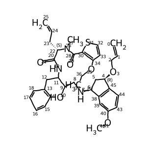 C=CCO[C@@H]1C[C@H](NCC(O)C(Cc2ccccc2)NC(=O)[C@H](CC=C)N(C)C(=O)c2sccc2OCC)c2cc(OC)ccc21